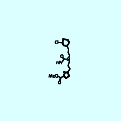 CCCC(=O)N(CCCc1cccc(Cl)c1)CCCc1ccc(C(=O)OC)s1